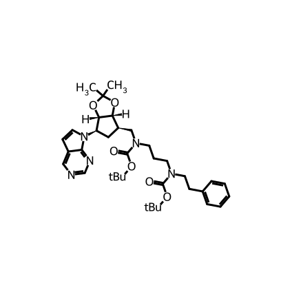 CC(C)(C)OC(=O)N(CCCN(C[C@H]1C[C@@H](n2ccc3cncnc32)[C@@H]2OC(C)(C)O[C@H]12)C(=O)OC(C)(C)C)CCc1ccccc1